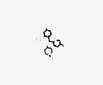 CN1CCC(OC(c2ccc(Cl)cn2)c2ccc(F)cc2O)CC1